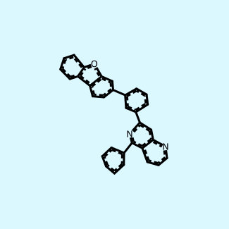 c1ccc(-c2nc(-c3cccc(-c4ccc5c(c4)oc4ccccc45)c3)cc3ncccc23)cc1